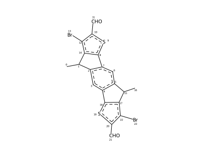 CC1c2cc3c(cc2-c2sc(C=O)c(Br)c21)C(C)c1c-3sc(C=O)c1Br